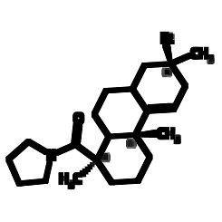 CC[C@@]1(C)CC=C2C(CCC3[C@](C)(C(=O)N4CCCC4)CCC[C@@]23C)C1